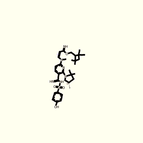 C[C@@H]1CN(c2nc(N(C)/C=C\C(=N)OCC3C(C)(C)CC3(C)C)ccc2C(=N)NS(=O)(=O)c2ccc(O)cc2)C(C)(C)C1